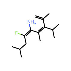 C=C(C)/C(=C(C)\C(N)=C(\F)CC(C)C)C(C)C